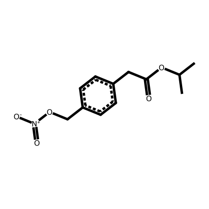 CC(C)OC(=O)Cc1ccc(CO[N+](=O)[O-])cc1